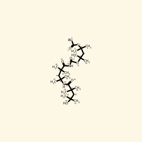 CCC(C)C(=O)SC(C)(C)CC(C)(C)OC(=O)NC(=O)C(C)(C)CC(C)(C)NC(=O)C(C)(C)CC(C)(C)O